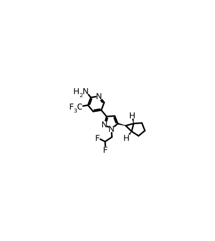 Nc1ncc(-c2cc([C@H]3[C@@H]4CCC[C@@H]43)n(CC(F)F)n2)cc1C(F)(F)F